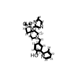 Cc1cncc(N2[C@@]3(CCN(Cc4ccc(O)c(-c5ncccc5C)c4)[C@@H](C)C3)CCS2(=O)=O)n1